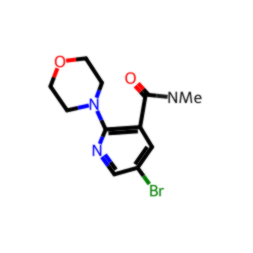 CNC(=O)c1cc(Br)cnc1N1CCOCC1